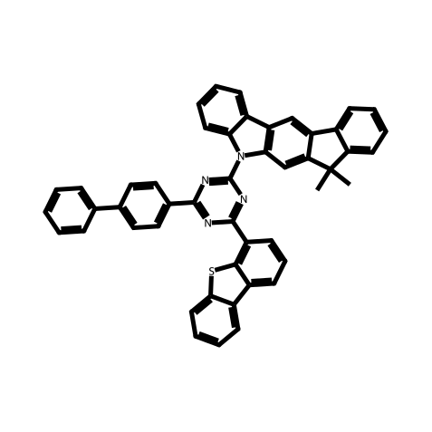 CC1(C)c2ccccc2-c2cc3c4ccccc4n(-c4nc(-c5ccc(-c6ccccc6)cc5)nc(-c5cccc6c5sc5ccccc56)n4)c3cc21